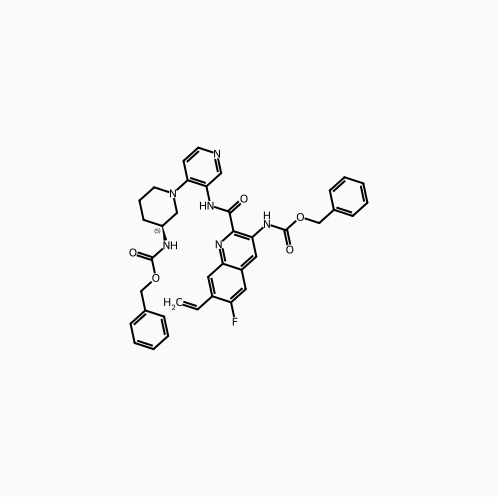 C=Cc1cc2nc(C(=O)Nc3cnccc3N3CCC[C@H](NC(=O)OCc4ccccc4)C3)c(NC(=O)OCc3ccccc3)cc2cc1F